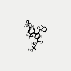 C[C@H]1CCCCN1C(=O)c1nc(C(=O)NCC(C)(C)O)sc1-c1cnc(NC2(C)CCC2)cc1C(F)(F)F